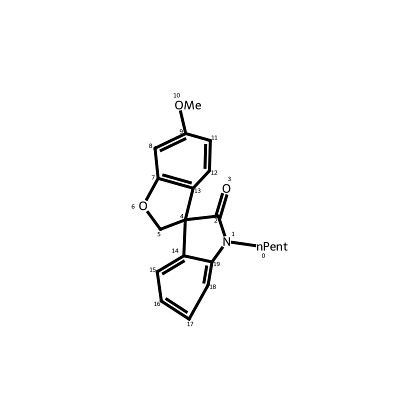 CCCCCN1C(=O)C2(COc3cc(OC)ccc32)c2ccccc21